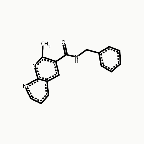 Cc1nc2ncccc2cc1C(=O)NCc1ccccc1